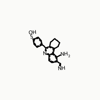 N=Cc1ccc2nc(-c3ccc(SO)cc3)c3c(c2c1N)CCCC3